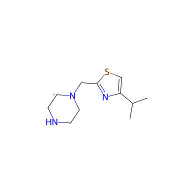 CC(C)c1csc(CN2[CH]CNCC2)n1